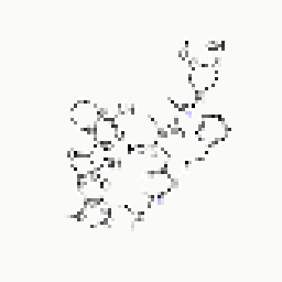 CO[C@@H](C[C@@H](C)C/C(C)=C/[C@@H](CCCc1ccccn1)C(=O)C[C@H](O)[C@@H](C)[C@H](C)/C(C)=C/[C@@H]1CC[C@@H](O)[C@H](OC)C1)[C@H]1O[C@@](O)(C(=O)C(=O)N2CCCC[C@H]2C(=O)O)[C@H](C)C[C@@H]1OC